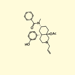 C=CCN1CC[C@@]2(c3cccc(O)c3)C[C@H](N(C)C(=O)c3ccccc3)CC[C@]2(OC(C)=O)C1